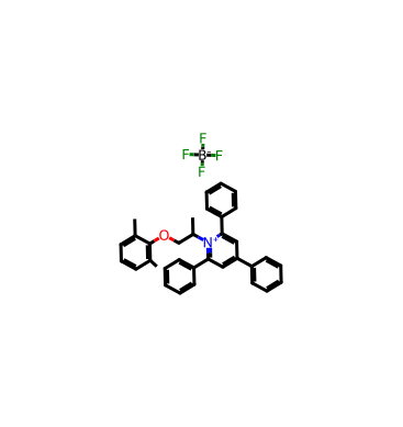 Cc1cccc(C)c1OCC(C)[n+]1c(-c2ccccc2)cc(-c2ccccc2)cc1-c1ccccc1.F[B-](F)(F)F